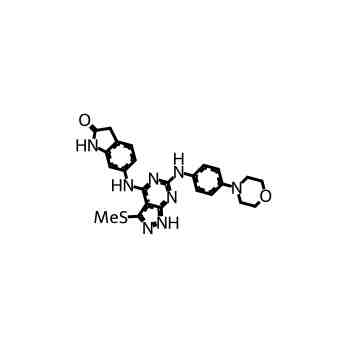 CSc1n[nH]c2nc(Nc3ccc(N4CCOCC4)cc3)nc(Nc3ccc4c(c3)NC(=O)C4)c12